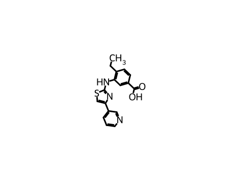 CCc1ccc(C(=O)O)cc1Nc1nc(-c2cccnc2)cs1